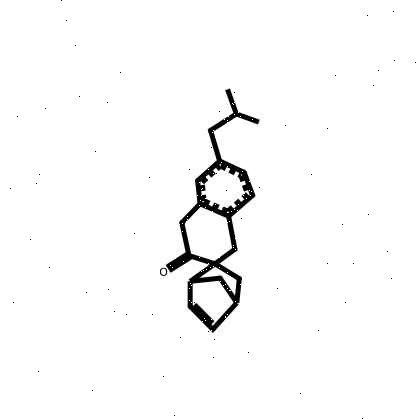 CC(C)Cc1ccc2c(c1)CC(=O)C1(C2)CC2C=CC1C2